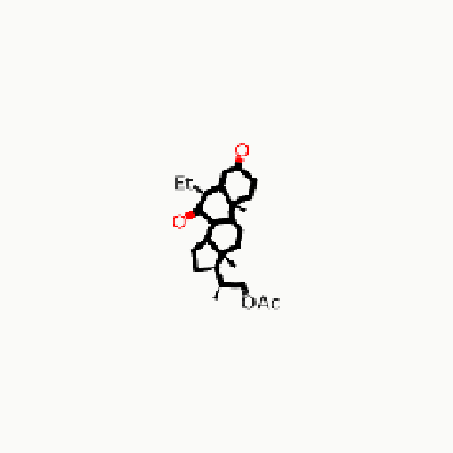 CC[C@@H]1C(=O)C2C(CC[C@@]3(C)C2CC[C@@H]3[C@H](C)COC(C)=O)[C@@]2(C)CCC(=O)CC12